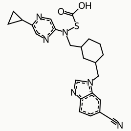 N#Cc1ccc2ncn(CC3CCCC(CN(SC(=O)O)c4cnc(C5CC5)cn4)C3)c2c1